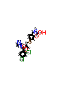 CN(Cc1ccc(SC[C@@H]2CO[C@@](Cn3ccnc3)(c3ccc(Cl)cc3Cl)O2)cc1)C(=O)O